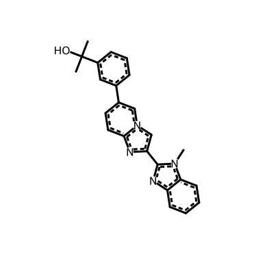 Cn1c(-c2cn3cc(-c4cccc(C(C)(C)O)c4)ccc3n2)nc2ccccc21